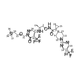 C[C@@H](CONC(=O)C1(C2CCN(c3ncc(C(F)(F)F)cn3)CC2)CC1)Nc1cnn(COCC[Si](C)(C)C)c(=O)c1C(F)(F)F